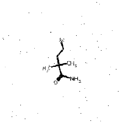 CC(=O)CCC(C)(C)C(N)=O